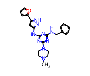 CN1CCN(c2nc(NCc3ccccc3)nc(Nc3cc(-c4ccco4)[nH]n3)n2)CC1